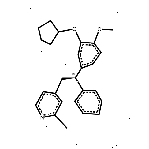 COc1ccc([C@H](Cc2ccnc(C)c2)c2ccccc2)cc1OC1CCCC1